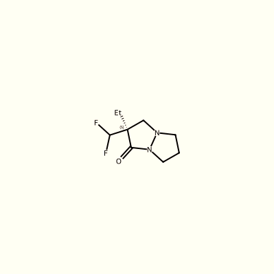 CC[C@]1(C(F)F)CN2CCCN2C1=O